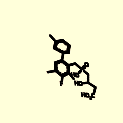 Cc1cccc(-c2cc(C)c(F)c(C)c2CP(=O)(O)CC(O)CC(=O)O)c1